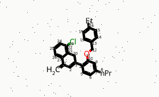 C=C1C=C(c2ccc(CCC)cc2OCc2ccc(CC)cc2)Cc2c(Cl)cccc21